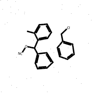 Cc1ccccc1C(OC#N)c1ccccc1.ClCc1ccccc1